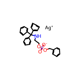 O=P([O-])(OCCNC(c1ccccc1)(c1ccccc1)c1ccccc1)OCc1ccccc1.[Ag+]